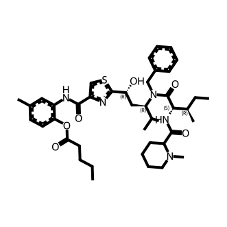 CCCCC(=O)Oc1ccc(C)cc1NC(=O)c1csc([C@H](O)C[C@H](C(C)C)N(Cc2ccccc2)C(=O)[C@@H](NC(=O)C2CCCCN2C)[C@H](C)CC)n1